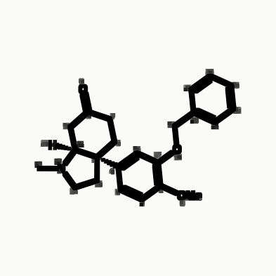 COc1ccc([C@@]23CCC(=O)C[C@@H]2N(C)CC3)cc1OCc1ccccc1